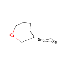 C1CCOC1.[Se]=[Se]